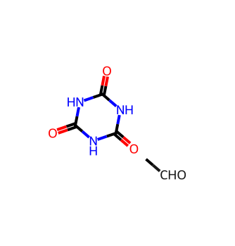 CC=O.O=c1[nH]c(=O)[nH]c(=O)[nH]1